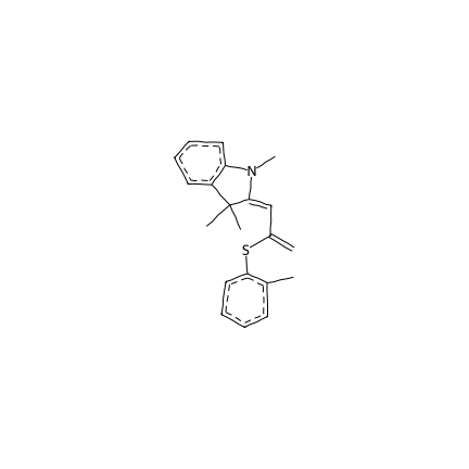 C=C(/C=C1/N(C)c2ccccc2C1(C)C)Sc1ccccc1C